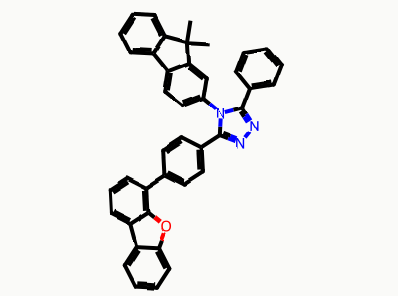 CC1(C)c2ccccc2-c2ccc(-n3c(-c4ccccc4)nnc3-c3ccc(-c4cccc5c4oc4ccccc45)cc3)cc21